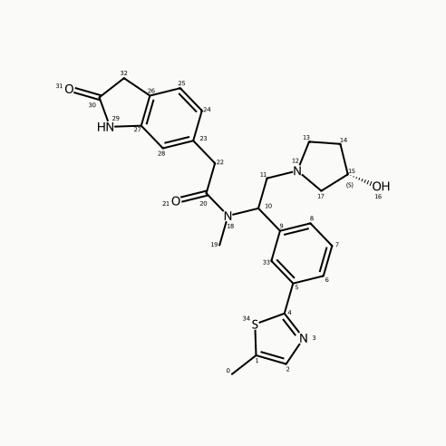 Cc1cnc(-c2cccc(C(CN3CC[C@H](O)C3)N(C)C(=O)Cc3ccc4c(c3)NC(=O)C4)c2)s1